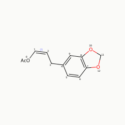 CC(=O)O/C=C\Cc1ccc2c(c1)OCO2